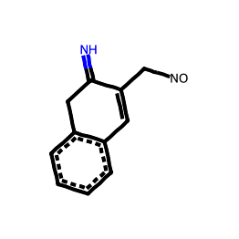 N=C1Cc2ccccc2C=C1CN=O